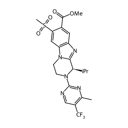 COC(=O)c1cc2nc3n(c2cc1S(C)(=O)=O)CCN(c1ncc(C(F)(F)F)c(C)n1)[C@@H]3C(C)C